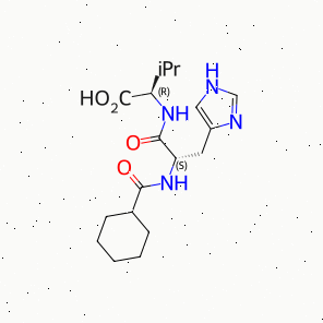 CC(C)[C@@H](NC(=O)[C@H](Cc1c[nH]cn1)NC(=O)C1CCCCC1)C(=O)O